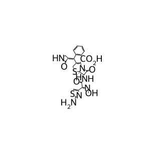 Nc1nc(C(=NO)C(=O)N[C@@H]2C(=O)N3C(C(=O)O)=C(C(=C4CNC4=O)c4ccccc4)CS[C@H]23)cs1